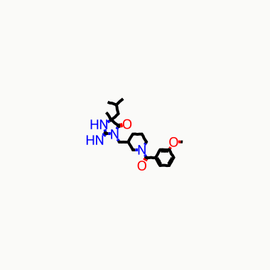 COc1cccc(C(=O)N2CCCC(CN3C(=N)NC(C)(CC(C)C)C3=O)C2)c1